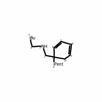 CCCC(C)C1(CNCC(C)CC)C=CC=[C]C1